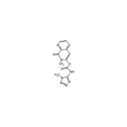 Cn1nnnc1NC(=O)Oc1cc2cccnc2c(=O)n1C